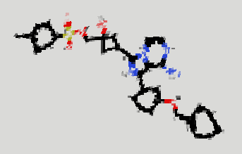 Cc1ccc(S(=O)(=O)OCC2(O)CC(c3nc(-c4cccc(OCc5ccccc5)c4)c4c(N)nccn34)C2)cc1